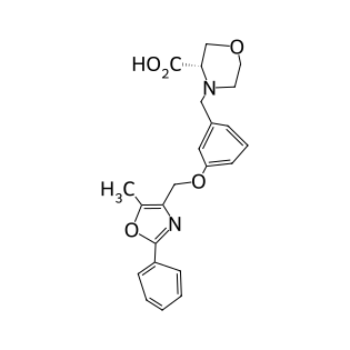 Cc1oc(-c2ccccc2)nc1COc1cccc(CN2CCOC[C@H]2C(=O)O)c1